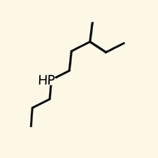 CCCPCCC(C)CC